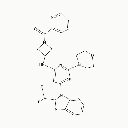 O=C(c1ccccn1)N1CC(Nc2cc(-n3c(C(F)F)nc4ccccc43)nc(N3CCOCC3)n2)C1